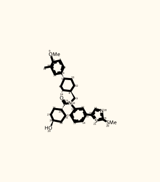 COc1ccc([C@H]2CC[C@H](CN(c3cccc(-c4cnc(SC)s4)c3)C(=O)[C@H]3CC[C@H](O)CC3)CC2)cc1C